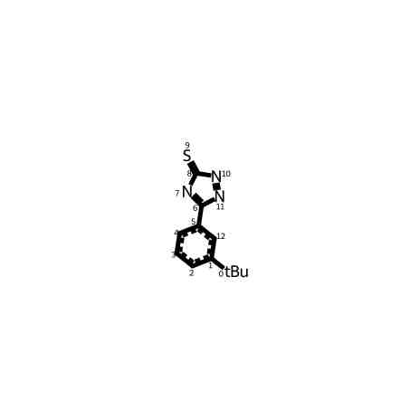 CC(C)(C)c1cccc(C2=NC(=S)N=N2)c1